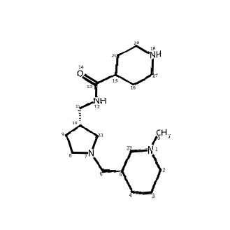 CN1CCC[C@@H](CN2CC[C@H](CNC(=O)C3CCNCC3)C2)C1